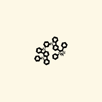 c1ccc(-c2nnn(-c3ccccc3)c2-c2ccc3c(c2)c2ccccc2n3-c2cccc(-n3c4ccccc4c4c3ccc3c5ccccc5n(-c5ccccc5)c34)c2)cc1